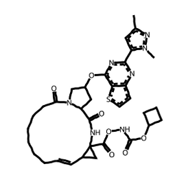 Cc1cc(-c2nc(OC3CC4C(=O)NC5(C(=O)ONC(=O)OC6CCC6)CC5/C=C/CCCCCCC(=O)N4C3)c3sccc3n2)n(C)n1